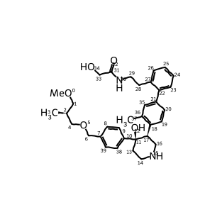 COC[C@H](C)COCc1ccc([C@@]2(O)CCNC[C@@H]2c2ccc(-c3ccccc3CCNC(=O)CO)cc2C)cc1